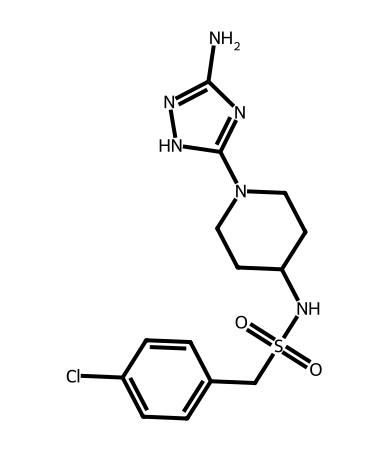 Nc1n[nH]c(N2CCC(NS(=O)(=O)Cc3ccc(Cl)cc3)CC2)n1